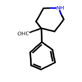 O=CC1(c2ccccc2)CCNCC1